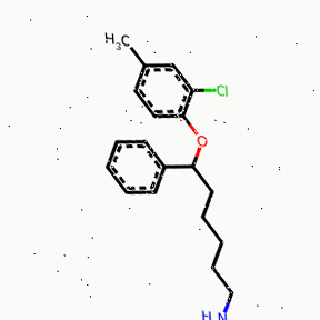 Cc1ccc(OC(CCCCCN)c2ccccc2)c(Cl)c1